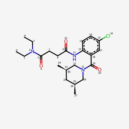 CCN(CC)C(=O)CCC(=O)Nc1ccc(Cl)cc1C(=O)N1C[C@H](C)C[C@H](C)C1